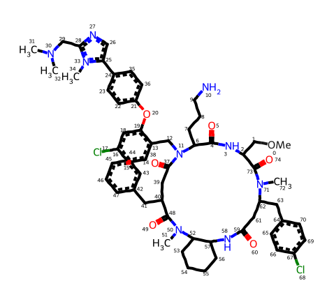 COCC1NC(=O)C(CCCN)N(Cc2ccc(Cl)cc2Oc2ccc(-c3cnc(CN(C)C)n3C)cc2)C(=O)CC(Cc2ccccc2)C(=O)N(C)C2CCCCC2NC(=O)CC(Cc2ccc(Cl)cc2)N(C)C1=O